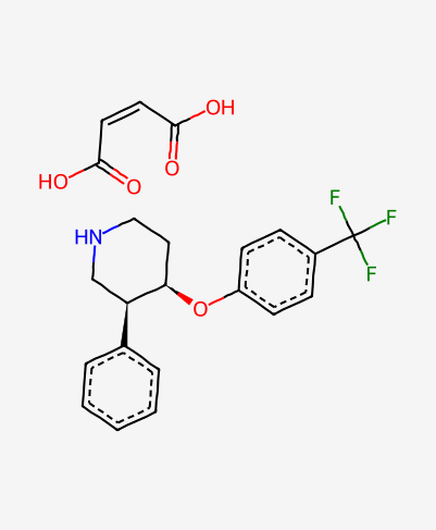 FC(F)(F)c1ccc(O[C@@H]2CCNC[C@@H]2c2ccccc2)cc1.O=C(O)/C=C\C(=O)O